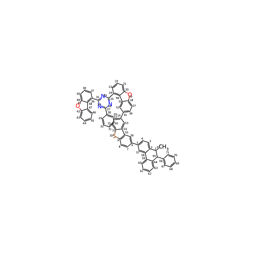 CC1c2ccc(-c3ccc4sc5ccc(-c6ccc7oc8cccc(-c9nc(-c%10ccccc%10)nc(-c%10cccc%11oc%12ccccc%12c%10%11)n9)c8c7c6)cc5c4c3)cc2-c2ccccc2C1c1ccccc1